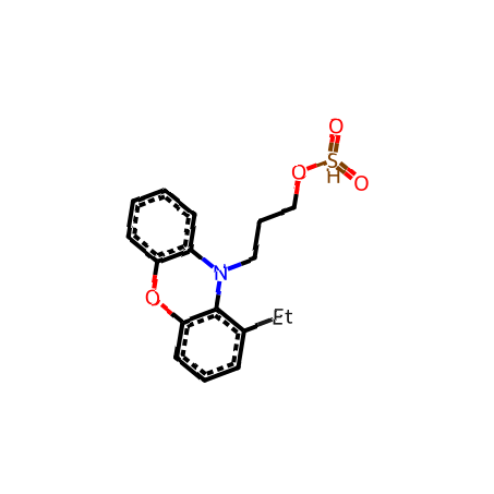 CCc1cccc2c1N(CCCO[SH](=O)=O)c1ccccc1O2